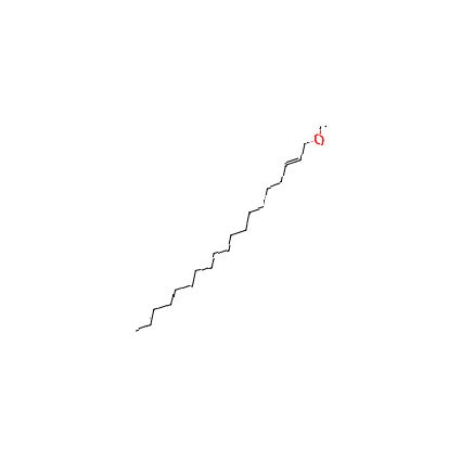 [CH2]OCC=CCCCCCCCCCCCCCCCC